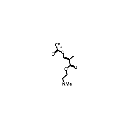 CNCCOC(=O)C(C)=COC(=O)C(F)(F)F